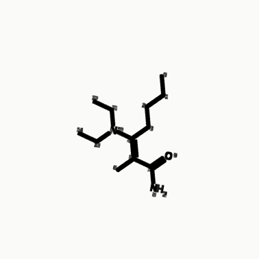 CCCC/C(=C(/C)C(N)=O)N(CC)CC